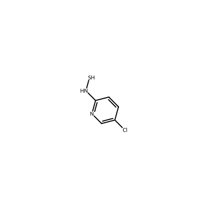 SNc1ccc(Cl)cn1